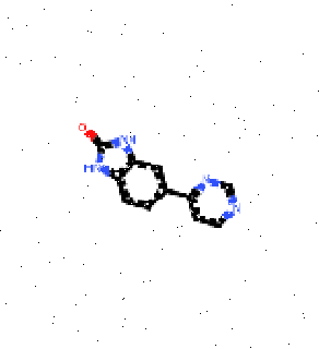 O=c1[nH]c2ccc(-c3ccncn3)cc2[nH]1